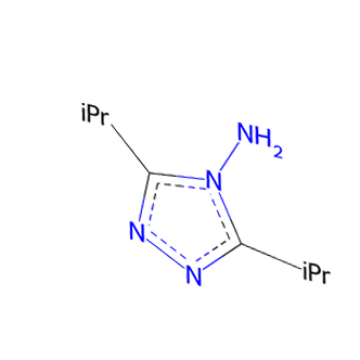 CC(C)c1nnc(C(C)C)n1N